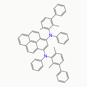 Cc1ccc(-c2ccccc2)c(C)c1N(c1ccccc1)c1cc(N(c2ccccc2)c2c(C)ccc(-c3ccccc3)c2C)c2ccc3cccc4ccc1c2c43